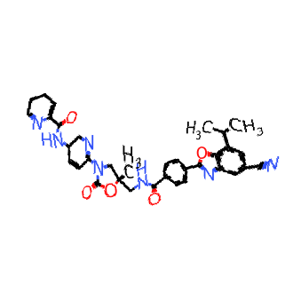 CC(C)c1cc(C#N)cc2nc(-c3ccc(C(=O)NCC4(C)CN(C5=NCC(NC(=O)C6=CCCC=N6)C=C5)C(=O)O4)cc3)oc12